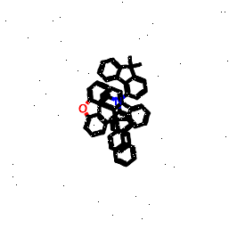 CC1(C)c2ccccc2-c2c(N(c3ccc(-c4ccccc4)cc3)c3cccc4oc5cccc(C6(c7ccccc7)c7ccccc7-c7ccccc76)c5c34)cccc21